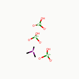 CP(C)C.[O-][Cl+2]([O-])O.[O-][Cl+2]([O-])O.[O-][Cl+2]([O-])O